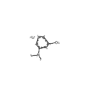 CN(C)c1cccc([O-])c1.[Li+]